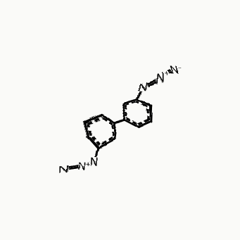 [N-]=[N+]=Nc1cccc(-c2cccc(N=[N+]=[N-])c2)c1